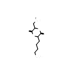 CCCCNCC1OC(=O)C(CCCCNC)OC1=O